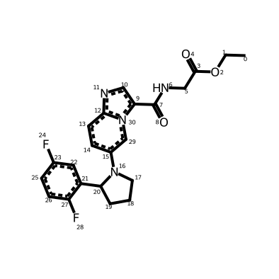 CCOC(=O)CNC(=O)c1cnc2ccc(N3CCCC3c3cc(F)ccc3F)cn12